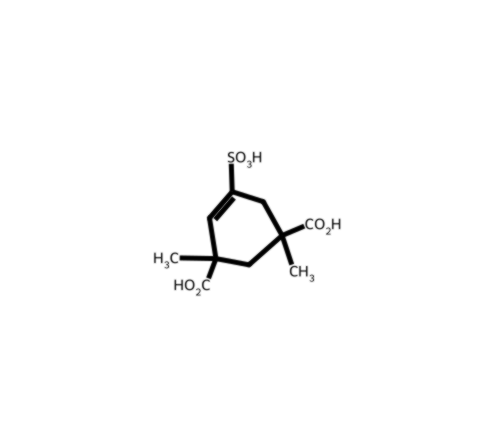 CC1(C(=O)O)C=C(S(=O)(=O)O)CC(C)(C(=O)O)C1